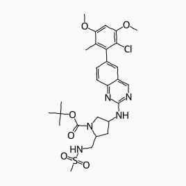 COc1cc(OC)c(Cl)c(-c2ccc3nc(NC4CC(CNS(C)(=O)=O)N(C(=O)OC(C)(C)C)C4)ncc3c2)c1C